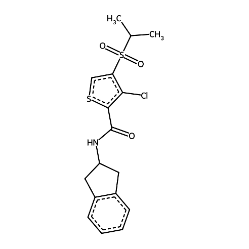 CC(C)S(=O)(=O)c1csc(C(=O)NC2Cc3ccccc3C2)c1Cl